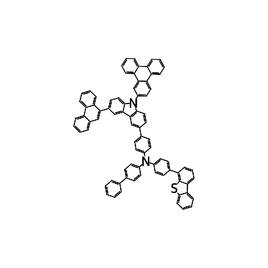 c1ccc(-c2ccc(N(c3ccc(-c4ccc5c(c4)c4cc(-c6cc7ccccc7c7ccccc67)ccc4n5-c4ccc5c6ccccc6c6ccccc6c5c4)cc3)c3ccc(-c4cccc5c4sc4ccccc45)cc3)cc2)cc1